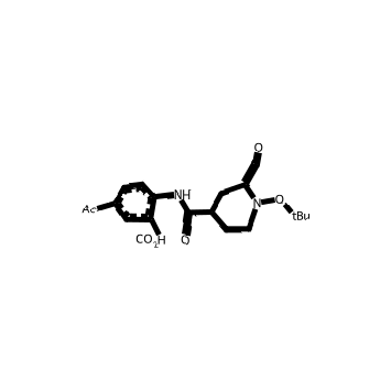 CC(=O)c1ccc(NC(=O)C2CCN(OC(C)(C)C)C(=C=O)C2)c(C(=O)O)c1